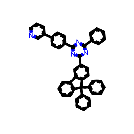 c1ccc(-c2nc(-c3ccc(-c4cccnc4)cc3)nc(-c3ccc4c(c3)-c3ccccc3C4(c3ccccc3)c3ccccc3)n2)cc1